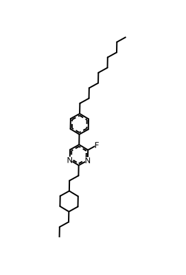 CCCCCCCCCCc1ccc(-c2cnc(CCC3CCC(CCC)CC3)nc2F)cc1